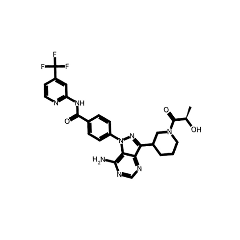 C[C@@H](O)C(=O)N1CCCC(c2nn(-c3ccc(C(=O)Nc4cc(C(F)(F)F)ccn4)cc3)c3c(N)ncnc23)C1